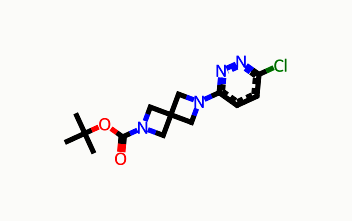 CC(C)(C)OC(=O)N1CC2(C1)CN(c1ccc(Cl)nn1)C2